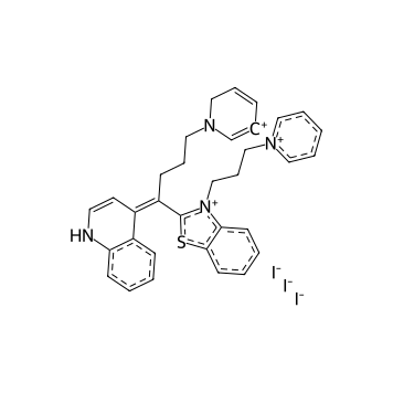 [C+]1=CN(CCCC(=C2C=CNc3ccccc32)c2sc3ccccc3[n+]2CCC[n+]2ccccc2)CC=C1.[I-].[I-].[I-]